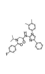 Cc1ccc(-n2cc(-c3ccccc3)nc2NC(=O)CN(C(=O)c2ccc(F)cc2)C(C)C)cc1C